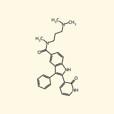 CN(C)CCCN(C)C(=O)c1ccc2[nH]c(-c3ccc[nH]c3=O)c(-c3ccccc3)c2c1